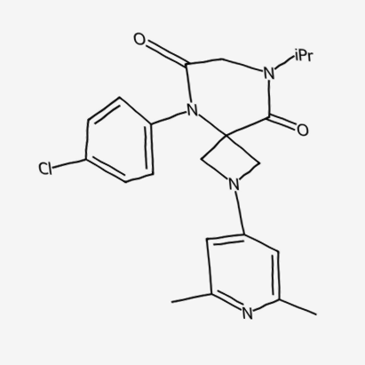 Cc1cc(N2CC3(C2)C(=O)N(C(C)C)CC(=O)N3c2ccc(Cl)cc2)cc(C)n1